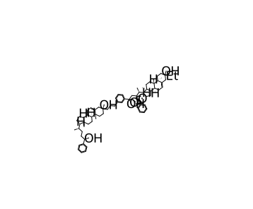 CC[C@]1(O)CC[C@@]2(C)C(=CC[C@H]3[C@@H]4CC[C@H]([C@H](C)C(C[C@@H](O)c5cccc(CCC[C@]6(O)CC[C@@]7(C)C(=CC[C@H]8[C@@H]9CC[C@H]([C@H](C)CC[C@@H](O)c%10ccccc%10)[C@@]9(C)CC[C@@H]87)C6)c5)S(=O)(=O)c5ccccc5)[C@@]4(C)CC[C@@H]32)C1